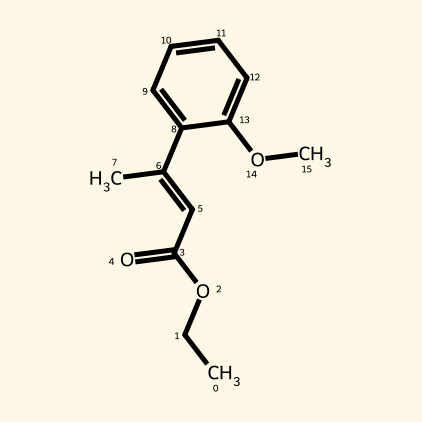 CCOC(=O)C=C(C)c1ccccc1OC